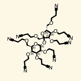 N#CCCOC[C@H]1O[C@@](COCCC#N)(O[C@H]2O[C@H](COCCC#N)[C@@H](OCCC#N)[C@H](OCCC#N)[C@H]2OCCC#N)[C@@H](OCCC#N)[C@@H]1OCCC#N